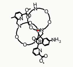 COC(=O)c1cccc(C(c2ccc(N)cc2C(C)(CN2CCOCCOCCNCCOCCOCC2)C(=O)O)N2CCOCCOCCN(Cc3nc(C(=O)OC)ccc3C)CCOCCOCC2)n1